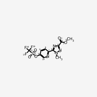 COC(=O)c1nc(-c2ccc(OS(=O)(=O)C(F)(F)F)cn2)n(C)n1